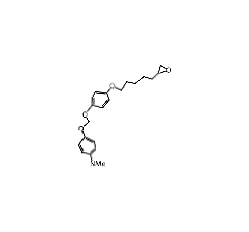 CNc1ccc(OCOc2ccc(OCCCCCC3CO3)cc2)cc1